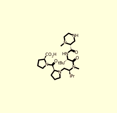 CC(C)[C@@H](CN1CCC[C@H]1C(=O)N1CCC[C@H]1C(=O)O)N(C)C(=O)[C@@H](NC(=O)[C@H]1CNCCN1C)C(C)(C)C